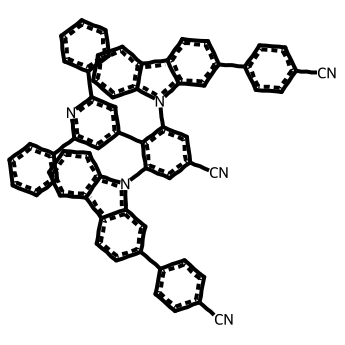 N#Cc1ccc(-c2ccc3c4ccccc4n(-c4cc(C#N)cc(-n5c6ccccc6c6ccc(-c7ccc(C#N)cc7)cc65)c4-c4cc(-c5ccccc5)nc(-c5ccccc5)c4)c3c2)cc1